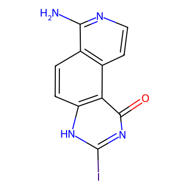 Nc1nccc2c1ccc1[nH]c(I)nc(=O)c12